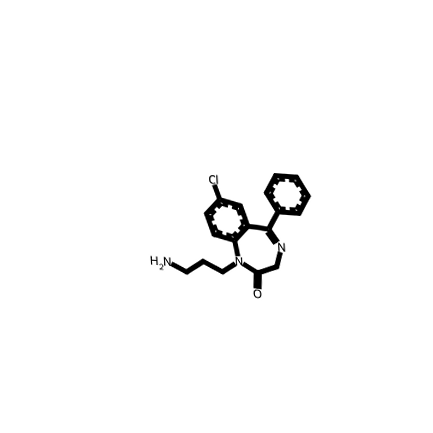 NCCCN1C(=O)CN=C(c2ccccc2)c2cc(Cl)ccc21